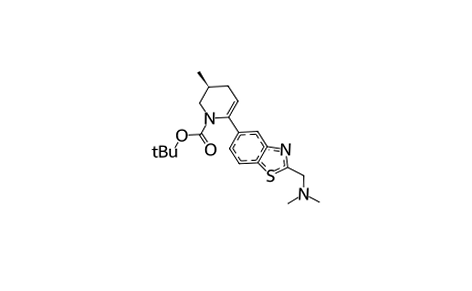 C[C@H]1CC=C(c2ccc3sc(CN(C)C)nc3c2)N(C(=O)OC(C)(C)C)C1